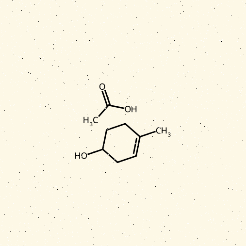 CC(=O)O.CC1=CCC(O)CC1